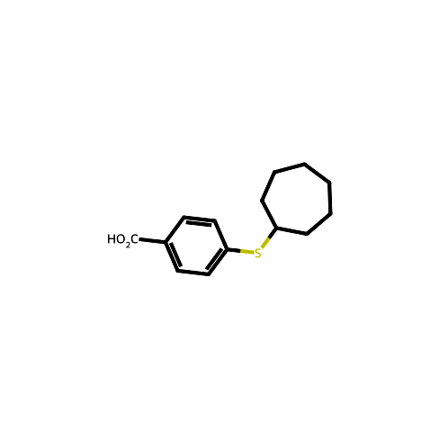 O=C(O)c1ccc(SC2CCCCCC2)cc1